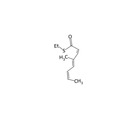 C\C=C/C=C(C)/C=C\C(=O)SCC